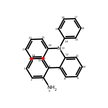 Nc1ccccc1-c1ccccc1N(c1ccccc1)c1ccccc1